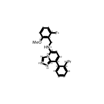 COc1cccc(F)c1CNc1ccc(-c2ccccc2C(C)C)c2nncn12